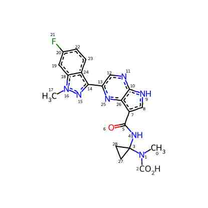 CN(C(=O)O)C1(NC(=O)c2c[nH]c3ncc(-c4nn(C)c5cc(F)ccc45)nc23)CC1